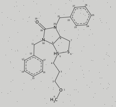 COCCC[SH]1SCC2C1N(Cc1ccccc1)C(=O)N2Cc1ccccc1